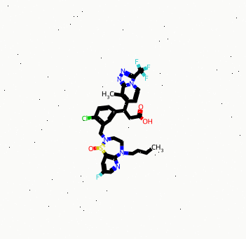 CCCCN1CCN(Cc2cc(C(CC(=O)O)c3ccn4c(C(F)(F)F)nnc4c3C)ccc2Cl)[S+]([O-])c2cc(F)cnc21